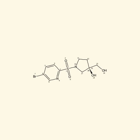 O=S(=O)(c1ccc(Br)cn1)N1CC[C@](O)(CO)C1